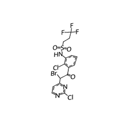 O=C(c1cccc(NS(=O)(=O)CCC(F)(F)F)c1Cl)C(Br)c1ccnc(Cl)n1